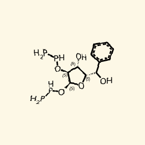 OC(c1ccccc1)[C@@H]1O[C@@H](OPP)[C@@H](OPP)[C@@H]1O